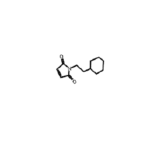 O=C1C=CC(=O)N1CCC1CCCCC1